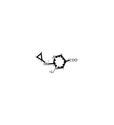 O=C([O-])c1cnc(NC2CC2)nc1.[Li+]